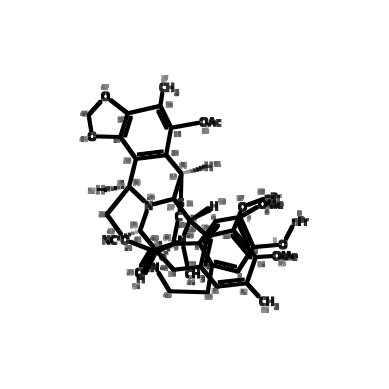 CCCOc1cc2c(cc1OC)[C@@]1(CS[C@@H]3c4c(OC(C)=O)c(C)c5c(c4[C@H](COC1=O)N1C3[C@@H]3c4c(cc(C)c(OC)c4OCCC)C[C@H]([C@@H]1C#N)N3C)OCO5)NCC2